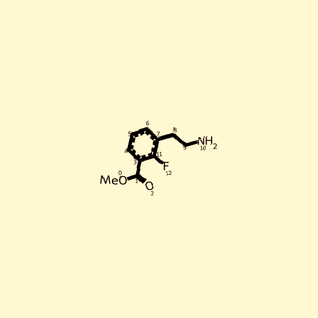 COC(=O)c1cccc(CCN)c1F